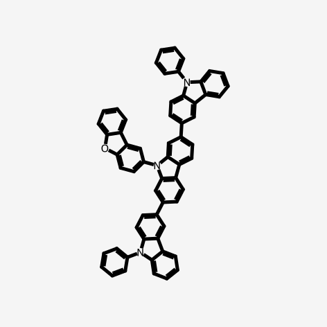 c1ccc(-n2c3ccccc3c3cc(-c4ccc5c6ccc(-c7ccc8c(c7)c7ccccc7n8-c7ccccc7)cc6n(-c6ccc7oc8ccccc8c7c6)c5c4)ccc32)cc1